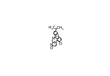 CC(C)c1ccc(C2=NCc3nc(=O)ccn3-c3c(Cl)ccc(Cl)c32)cc1